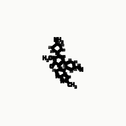 Cn1cc2cc(-c3c(-c4ccc(C#N)cc4)nc(N4CCC(N)CC4)n(C)c3=O)cnc2n1